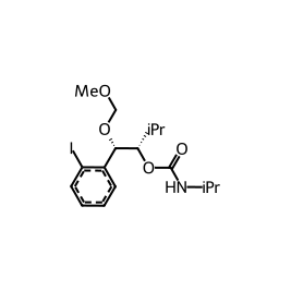 COCO[C@@H](c1ccccc1I)[C@@H](OC(=O)NC(C)C)C(C)C